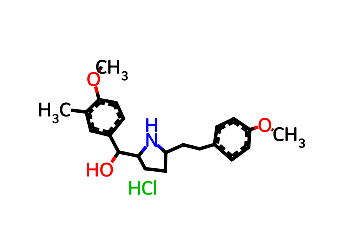 COc1ccc(CCC2CCC(C(O)c3ccc(OC)c(C)c3)N2)cc1.Cl